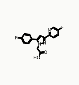 O=C(O)Cn1nc(-c2ccc(F)cn2)cc1-c1ccc(F)cc1